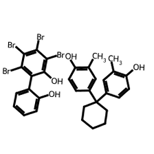 Cc1cc(C2(c3ccc(O)c(C)c3)CCCCC2)ccc1O.Oc1ccccc1-c1c(O)c(Br)c(Br)c(Br)c1Br